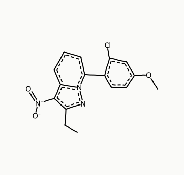 CCc1nn2c(-c3ccc(OC)cc3Cl)cccc2c1[N+](=O)[O-]